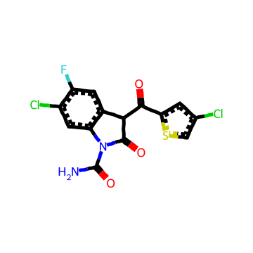 NC(=O)N1C(=O)C(C(=O)c2cc(Cl)cs2)c2cc(F)c(Cl)cc21